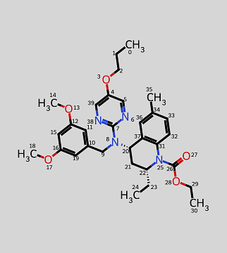 CCCOc1cnc(N(Cc2cc(OC)cc(OC)c2)[C@H]2C[C@@H](CC)N(C(=O)OCC)c3ccc(C)cc32)nc1